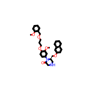 COc1ccccc1COCCCOc1ccc(N2C(=O)CNC[C@@H]2COc2ccc3ccccc3c2)cc1OC